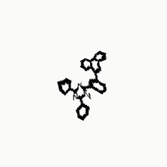 c1ccc(-c2nc(-c3ccccc3)nc(-c3cccc(-c4cc5ccccc5c5ccccc45)c3)n2)cc1